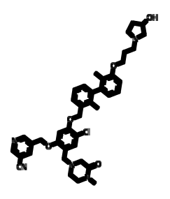 Cc1c(COc2cc(OCc3cncc(C#N)c3)c(CN3CCN(C)C(=O)C3)cc2Cl)cccc1-c1cccc(OCCCN2CCC(O)C2)c1C